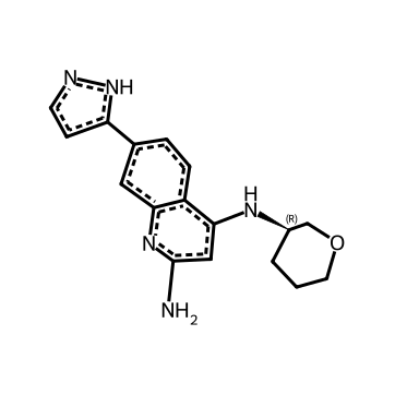 Nc1cc(N[C@@H]2CCCOC2)c2ccc(-c3ccn[nH]3)cc2n1